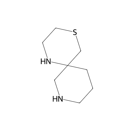 C1CNCC2(C1)CSCCN2